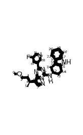 COCC[C@H](C)c1cnn2c(N[C@H]3CCc4[nH]c5ccccc5c4C3)nc(-c3cncc(F)c3)nc12